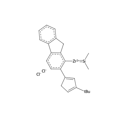 C[Si](C)=[Zr+2][c]1c(C2=CC(C(C)(C)C)=CC2)ccc2c1Cc1ccccc1-2.[Cl-].[Cl-]